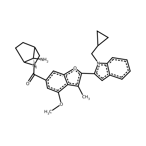 COc1cc(C(=O)N2CC3CCC2[C@@H]3N)cc2oc(-c3cc4ccccc4n3CC3CC3)c(C)c12